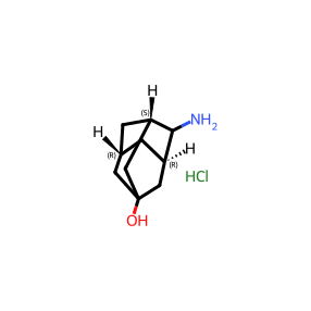 Cl.NC1[C@@H]2C[C@H]3C[C@H]1CC(O)(C3)C2